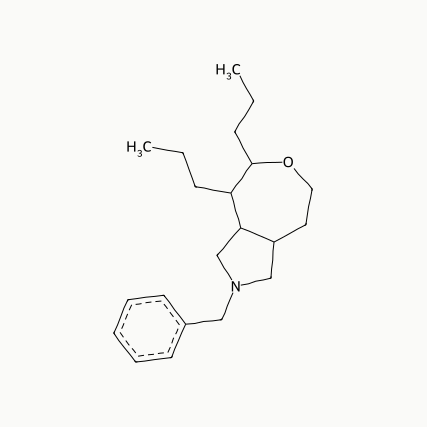 CCCC1OCCC2CN(Cc3ccccc3)CC2C1CCC